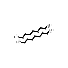 OCCCCCCCO.OCCCCCCCO